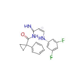 N=C(/C=C\Nc1cc(F)cc(F)c1)NC(=O)C1(c2ccccc2)CC1